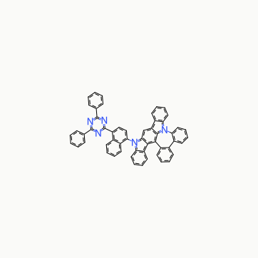 c1ccc(-c2nc(-c3ccccc3)nc(-c3ccc(-n4c5ccccc5c5c6c7c(cc54)c4ccccc4n7-c4ccccc4-c4ccccc4-6)c4ccccc34)n2)cc1